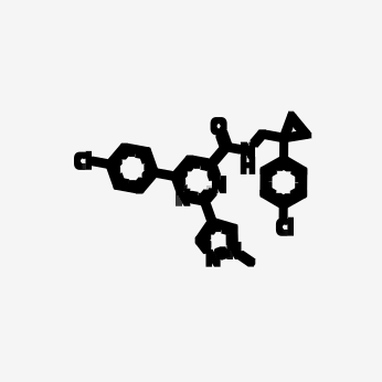 Cn1cc(-c2nc(C(=O)NCC3(c4ccc(Cl)cc4)CC3)cc(-c3ccc(Cl)cc3)n2)cn1